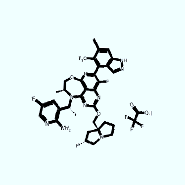 Cc1cc2[nH]ncc2c(-c2nc3c4c(nc(OC[C@@]56CCCN5C[C@H](F)C6)nc4c2F)N([C@H](C)c2cc(F)cnc2N)[C@@H](C)CO3)c1C(F)(F)F.O=C(O)C(F)(F)F